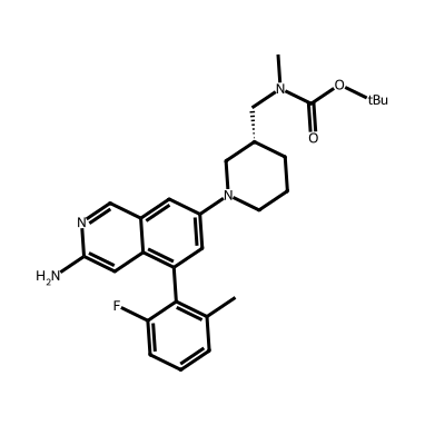 Cc1cccc(F)c1-c1cc(N2CCC[C@@H](CN(C)C(=O)OC(C)(C)C)C2)cc2cnc(N)cc12